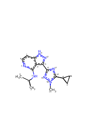 CC(C)Nc1nccc2[nH]nc(-c3nc(C4CC4)n(C)n3)c12